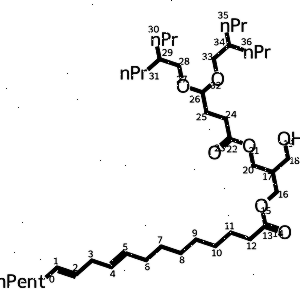 CCCCCC=CCC=CCCCCCCCC(=O)OCC(CO)COC(=O)CCC(OCC(CCC)CCC)OCC(CCC)CCC